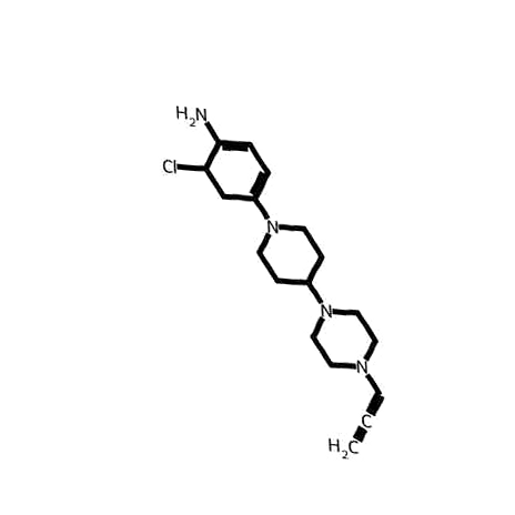 C=C=CN1CCN(C2CCN(C3=CC=C(N)C(Cl)C3)CC2)CC1